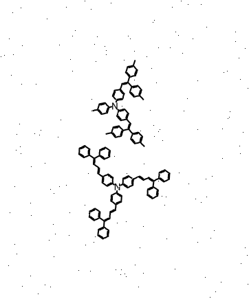 C(=Cc1ccc(N(c2ccc(C=CC=C(c3ccccc3)c3ccccc3)cc2)c2ccc(C=CC=C(c3ccccc3)c3ccccc3)cc2)cc1)C=C(c1ccccc1)c1ccccc1.Cc1ccc(C(=Cc2ccc(N(c3ccc(C)cc3)c3ccc(C=C(c4ccc(C)cc4)c4ccc(C)cc4)cc3)cc2)c2ccc(C)cc2)cc1